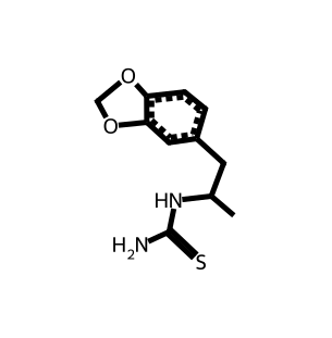 CC(Cc1ccc2c(c1)OCO2)NC(N)=S